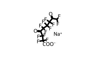 O=C([O-])C(F)(F)C(F)(F)C(=O)C(F)(F)C(F)(F)C(F)(F)C(=O)C(F)F.[Na+]